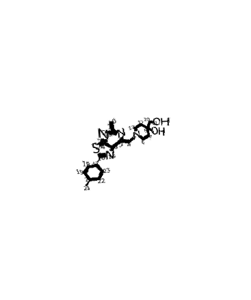 Cc1nc(CN2CCC(O)(CO)CC2)c2nc([C@H]3CC[C@H](C)CC3)sc2n1